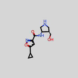 O=C(N[C@H]1CNC[C@H]1CO)c1cc(C2CC2)on1